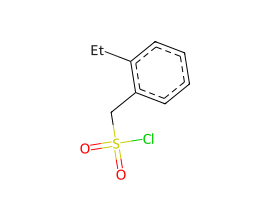 CCc1ccccc1CS(=O)(=O)Cl